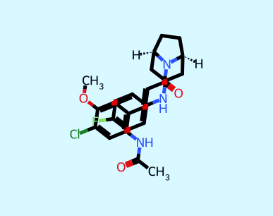 COc1cc(C=CC(=O)N2[C@@H]3CC[C@H]2CC(Nc2ccc(F)cc2)C3)c(NC(C)=O)cc1Cl